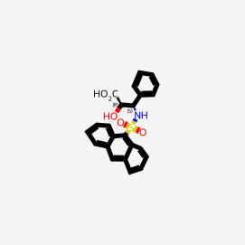 O=C(O)[C@H](O)[C@@H](NS(=O)(=O)c1c2ccccc2cc2ccccc12)c1ccccc1